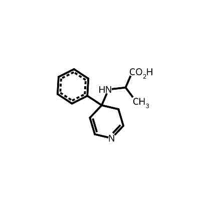 CC(NC1(c2ccccc2)C=CN=CC1)C(=O)O